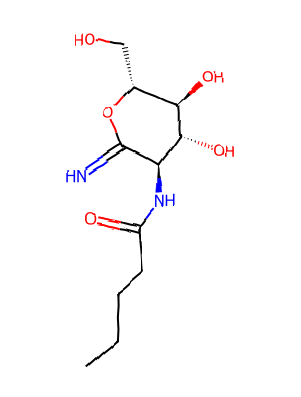 CCCCC(=O)N[C@H]1C(=N)O[C@H](CO)[C@@H](O)[C@@H]1O